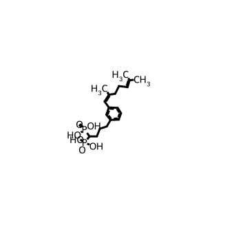 CC(C)=CCCC(C)=Cc1cccc(CCCC(P(=O)(O)O)P(=O)(O)O)c1